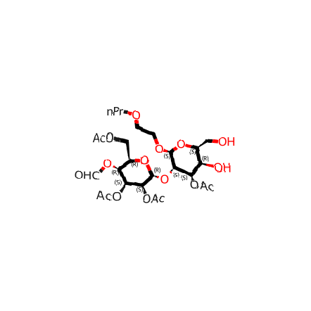 CCCOCCO[C@H]1O[C@@H](CO)[C@@H](O)[C@H](OC(C)=O)[C@@H]1O[C@H]1O[C@H](COC(C)=O)[C@@H](OC=O)[C@H](OC(C)=O)[C@@H]1OC(C)=O